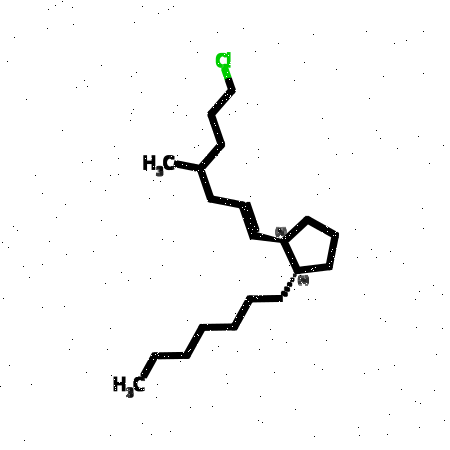 CCCCCCC[C@H]1CCC[C@@H]1C=CCC(C)CCCCl